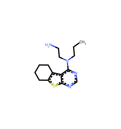 CCCN(CCN)c1ncnc2sc3c(c12)CCCC3